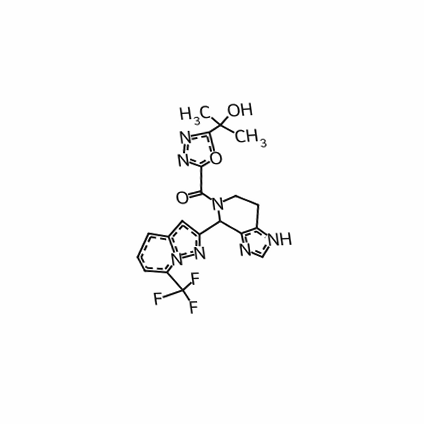 CC(C)(O)c1nnc(C(=O)N2CCc3[nH]cnc3C2c2cc3cccc(C(F)(F)F)n3n2)o1